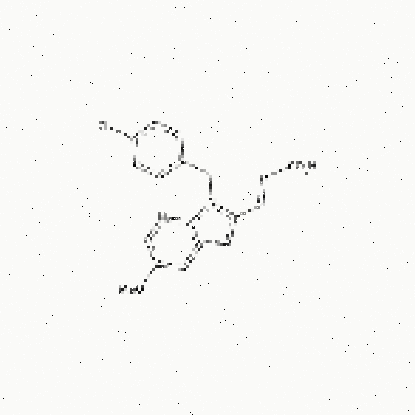 COc1cnc2c(c1)cc(/C=C/C(=O)O)n2Cc1ccc(Cl)cc1